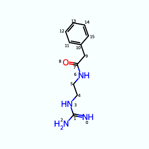 N=C(N)NCCNC(=O)Cc1ccccc1